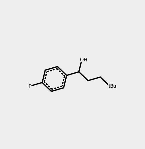 CC(C)(C)CCC(O)c1ccc(F)cc1